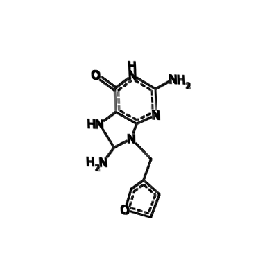 Nc1nc2c(c(=O)[nH]1)NC(N)N2Cc1ccoc1